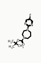 CC(C)(C)OC(=O)N1CCCN(c2ncc(F)cn2)CC1